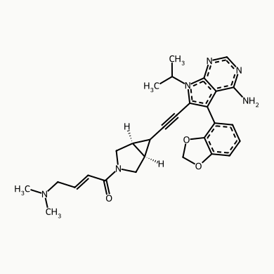 CC(C)n1c(C#CC2[C@H]3CN(C(=O)/C=C/CN(C)C)C[C@@H]23)c(-c2cccc3c2OCO3)c2c(N)ncnc21